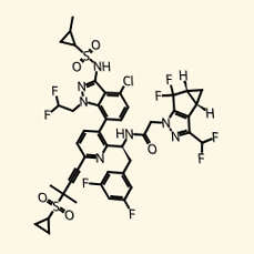 CC1CC1S(=O)(=O)Nc1nn(CC(F)F)c2c(-c3ccc(C#CC(C)(C)S(=O)(=O)C4CC4)nc3[C@H](Cc3cc(F)cc(F)c3)NC(=O)Cn3nc(C(F)F)c4c3C(F)(F)[C@@H]3C[C@H]43)ccc(Cl)c12